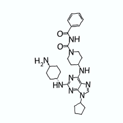 N[C@H]1CC[C@H](Nc2nc(NC3CCN(C(=O)NC(=O)c4ccccc4)CC3)c3ncn(C4CCCC4)c3n2)CC1